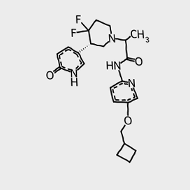 CC(C(=O)Nc1ccc(OCC2CCC2)cn1)N1CCC(F)(F)[C@@H](c2ccc(=O)[nH]c2)C1